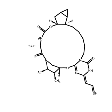 CC(=O)[C@@H]1[C@H](C)[C@@H]2CN1C(=O)[C@H](C(C)(C)C)NC(=O)O[C@@H]1CC3CC3[C@H]1CCCCCN1C(=O)N/C(=C\C=N)N=C1O2